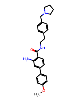 COc1ccc(-c2ccc(C(=O)NCCc3ccc(CN4CCCC4)cc3)c(N)c2)cc1